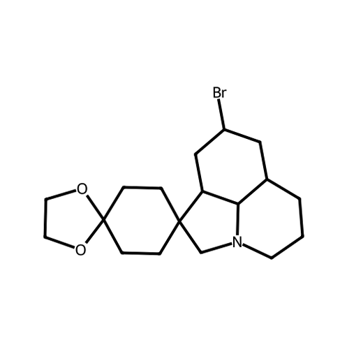 BrC1CC2CCCN3CC4(CCC5(CC4)OCCO5)C(C1)C23